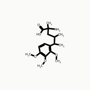 COc1ccc(C(C)C(C)CC(C)(N)C(=O)O)c(OC)c1OC